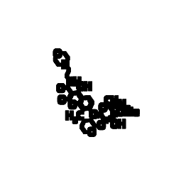 CO[C@@H]1[C@@H](O)[C@@H](OC2CCCCO2)[C@H](Oc2ccc3c(O)c(C(=O)NCCN4CCOCC4)c(=O)oc3c2C)OC1(C)C